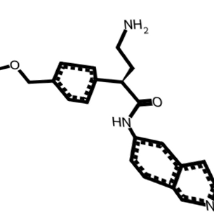 COCc1ccc([C@@H](CCN)C(=O)Nc2ccc3cnccc3c2)cc1